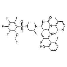 Cc1ccnc(C(C)C)c1-n1c(=O)nc(N2CCN(S(=O)(=O)c3c(F)c(F)c(F)c(F)c3OCF)C[C@@H]2C)c2cc(F)c(-c3c(O)cccc3F)nc21